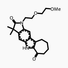 COCCOCCN1C(=O)C(C)(C)c2cc3[nH]c4c(c3cc21)CCCCC4=O